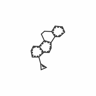 C1=C(c2cccc3c4c(ccc23)-c2ccccc2CC4)C1